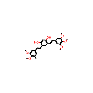 COc1cc(/C=C/c2cc(/C=C/c3cc(OC)c(OC)c(OC)c3)c(O)cc2O)cc(C)c1OC